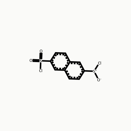 O=S(=O)(Cl)c1ccc2cc([S+]([O-])Cl)ccc2c1